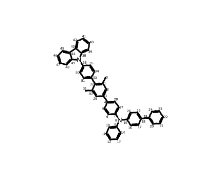 Cc1cc(-c2ccc(N(c3ccccc3)c3ccc(-c4ccccc4)cc3)cc2)cc(C)c1-c1ccc(-n2c3ccccc3c3ccccc32)cc1